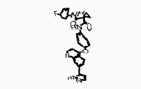 O=C(Nc1ccc(F)cc1)C1(C(=O)Nc2ccc(Oc3ccnc4cc(-c5ccn[nH]5)ccc34)cc2)CC1